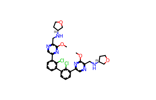 COc1nc(-c2cccc(-c3cccc(-c4cnc(CN[C@H]5CCOC5)c(OC)n4)c3Cl)c2Cl)cnc1CN[C@H]1CCOC1